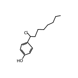 CCCCCCCC(Cl)c1ccc(O)cc1